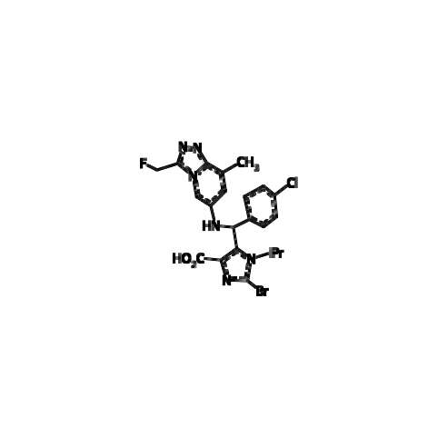 Cc1cc(NC(c2ccc(Cl)cc2)c2c(C(=O)O)nc(Br)n2C(C)C)cn2c(CF)nnc12